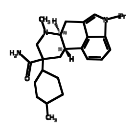 CC1CCC(C2(C(N)=O)C[C@H]3c4cccc5c4c(cn5C(C)C)C[C@@H]3N(C)C2)CC1